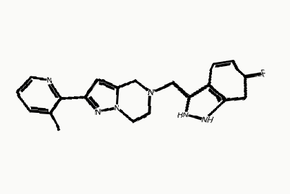 Cc1cccnc1-c1cc2n(n1)CCN(CC1NNC3=C1C=CC(F)C3)C2